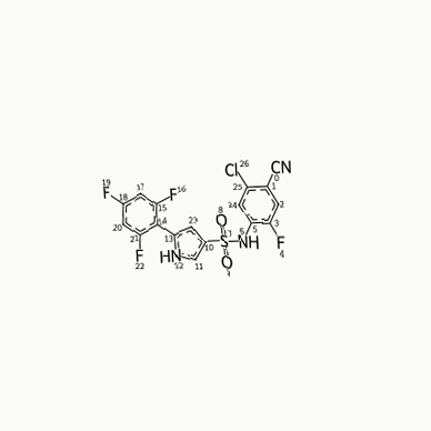 N#Cc1cc(F)c(NS(=O)(=O)c2c[nH]c(-c3c(F)cc(F)cc3F)c2)cc1Cl